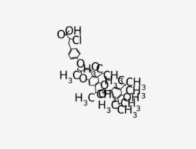 CC(C)c1cc2c(c(C(C)C)c1OC(=O)c1cc(C(C)(C)C)c(O)c(C(C)(C)C)c1)C(=O)CC(C)(COc1ccc(CC(Cl)C(=O)O)cc1)O2